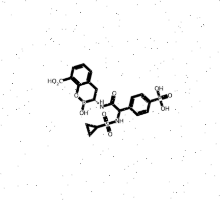 O=C(O)c1cccc2c1OB(O)[C@@H](NC(=O)C(NS(=O)(=O)C1CC1)c1ccc(P(=O)(O)O)cc1)C2